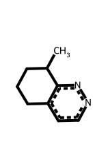 CC1CCCc2ccnnc21